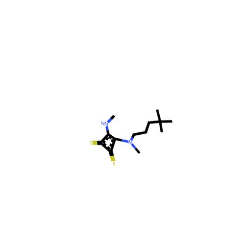 CNc1c(N(C)CCCC(C)(C)C)c(=S)c1=S